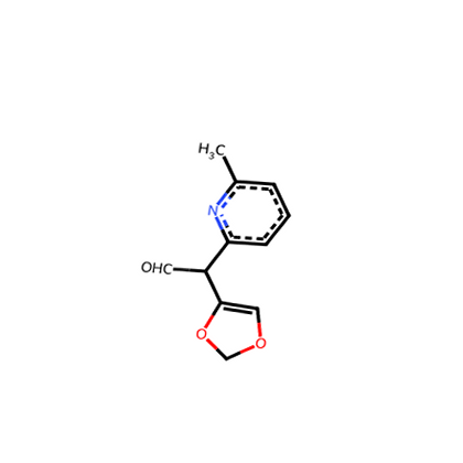 Cc1cccc(C(C=O)C2=COCO2)n1